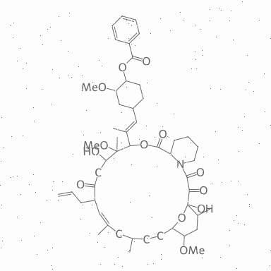 C=CCC1C=C(C)CC(C)CCC2OC(O)(C(=O)C(=O)N3CCCCC3C(=O)OC(C(C)=CC3CCC(OC(=O)c4ccccc4)C(OC)C3)C(C)(OC)C(O)CC1=O)C(C)CC2OC